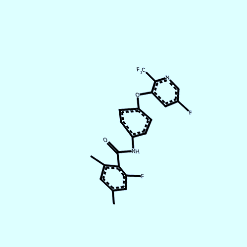 Cc1cc(C)c(C(=O)Nc2ccc(Oc3cc(F)cnc3C(F)(F)F)cc2)c(F)c1